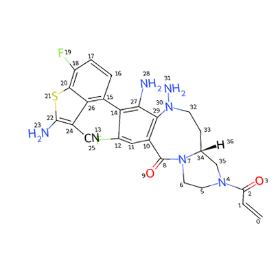 C=CC(=O)N1CCN2C(=O)c3cc(F)c(-c4ccc(F)c5sc(N)c(C#N)c45)c(N)c3N(N)CC[C@@H]2C1